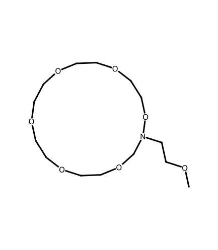 COCCN1COCCOCCOCCOCCOCCO1